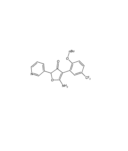 CCCCOc1ccc(C(F)(F)F)cc1C1=C(N)OC(c2cccnc2)C1=O